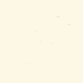 COc1cc2nc(C)nc(NC(C)c3ccc(-c4ccccc4NC(C)=O)s3)c2cc1OC